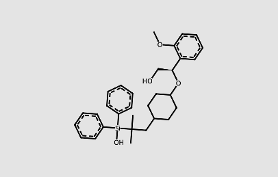 COc1ccccc1[C@H](CO)OC1CCC(CC(C)(C)[Si](O)(c2ccccc2)c2ccccc2)CC1